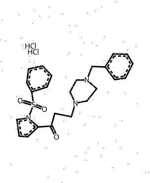 Cl.Cl.O=C(CCN1CCN(Cc2ccccc2)CC1)c1cccn1S(=O)(=O)c1ccccc1